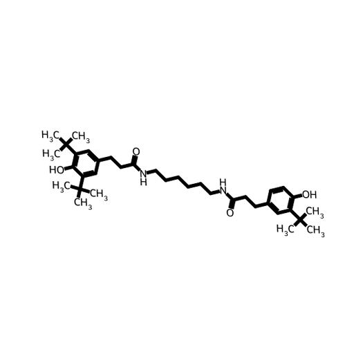 CC(C)(C)c1cc(CCC(=O)NCCCCCCNC(=O)CCc2cc(C(C)(C)C)c(O)c(C(C)(C)C)c2)ccc1O